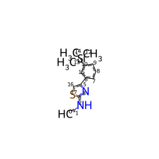 C#CNc1nc(-c2cccc([Si](C)(C)C)c2)cs1